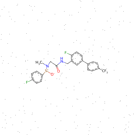 CN(CC(=O)NCc1cc(-c2ccc(C(F)(F)F)cc2)ccc1F)[S+]([O-])c1ccc(F)cc1